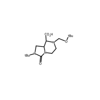 CC(C)(C)OCN1CCN2C(=O)N(C(C)(C)C)CC2C1C(=O)O